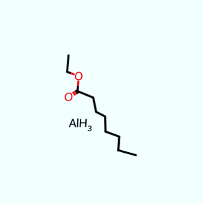 CCCCCCCC(=O)OCC.[AlH3]